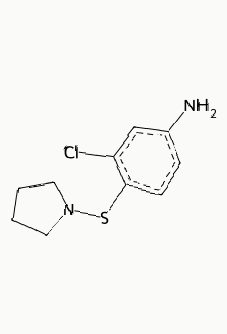 Nc1ccc(SN2CCCC2)c(Cl)c1